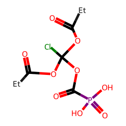 CCC(=O)OC(Cl)(OC(=O)CC)OC(=O)P(=O)(O)O